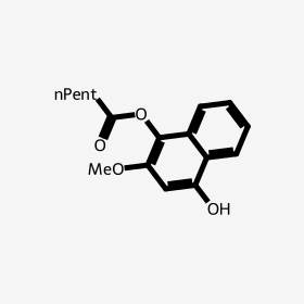 CCCCCC(=O)Oc1c(OC)cc(O)c2ccccc12